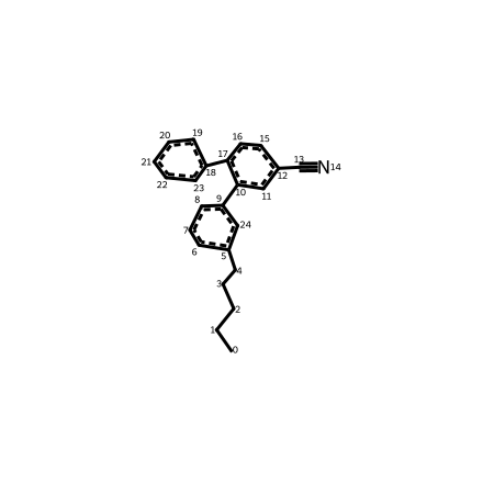 CCCCCc1cccc(-c2cc(C#N)ccc2-c2ccccc2)c1